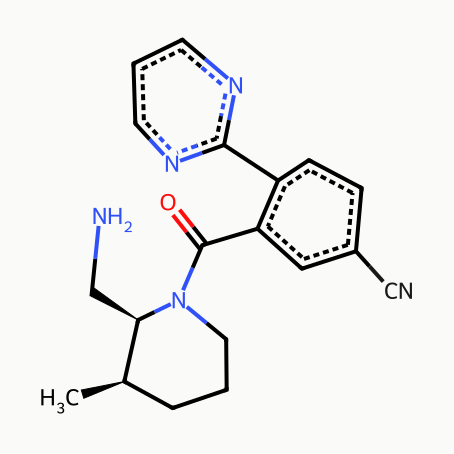 C[C@@H]1CCCN(C(=O)c2cc(C#N)ccc2-c2ncccn2)[C@@H]1CN